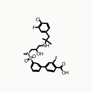 CN(CC(O)CNC(C)(C)Cc1ccc(Cl)c(F)c1)S(=O)(=O)c1cccc(-c2ccc(C(=O)O)c(F)c2)c1